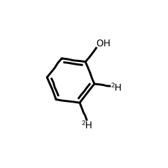 [2H]c1cccc(O)c1[2H]